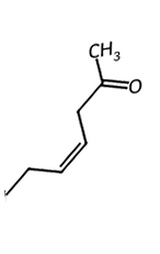 CC(=O)C/C=C\CCl